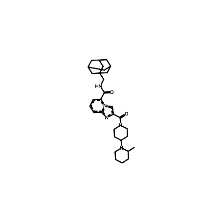 CC1CCCCN1C1CCN(C(=O)c2cn3c(C(=O)NCC45CC6CC(CC(C6)C4)C5)cccc3n2)CC1